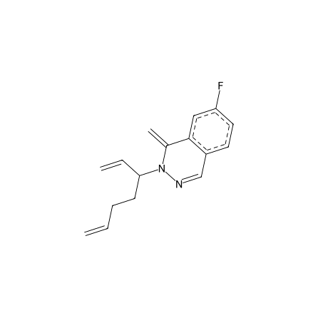 C=CCCC(C=C)N1N=Cc2ccc(F)cc2C1=C